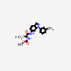 Cc1cccc(-n2ncc3ccc(NC(=O)C(NC(=O)OC(C)(C)C)C(=O)O)cc32)c1